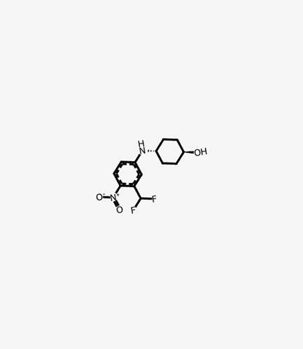 O=[N+]([O-])c1ccc(N[C@H]2CC[C@H](O)CC2)cc1C(F)F